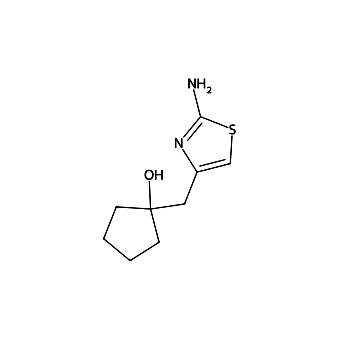 Nc1nc(CC2(O)CCCC2)cs1